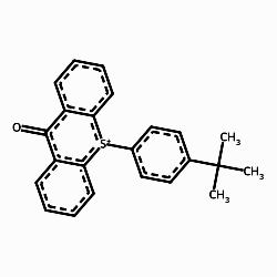 CC(C)(C)c1ccc(-[s+]2c3ccccc3c(=O)c3ccccc32)cc1